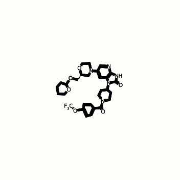 O=C(c1ccc(OC(F)(F)F)cc1)N1CCC(n2c(=O)[nH]c3ncc(N4CCO[C@@H](COC5CCCCO5)C4)cc32)CC1